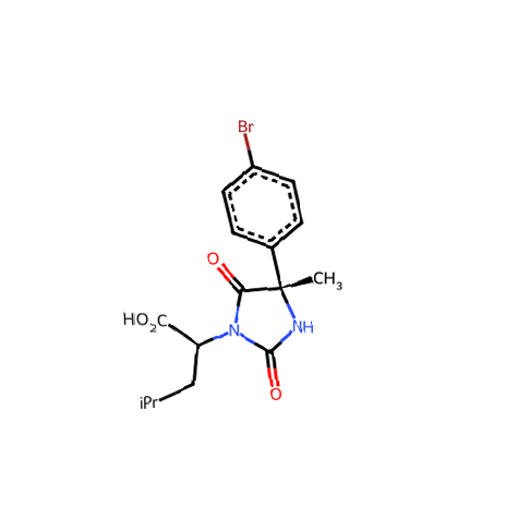 CC(C)CC(C(=O)O)N1C(=O)N[C@@](C)(c2ccc(Br)cc2)C1=O